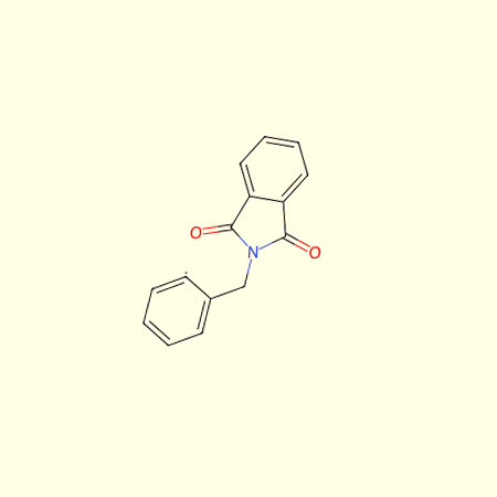 O=C1c2ccccc2C(=O)N1Cc1[c]cccc1